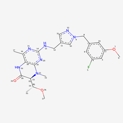 COc1cc(F)cc(Cn2cc(CNc3nc(C)c4c(n3)N(C)[C@@H]([C@@H](C)OC)C(=O)N4)cn2)c1